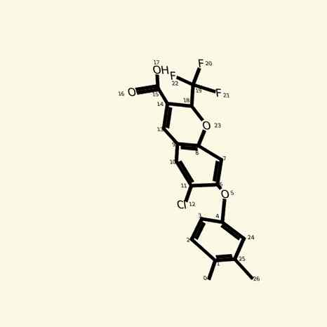 Cc1ccc(Oc2cc3c(cc2Cl)C=C(C(=O)O)C(C(F)(F)F)O3)cc1C